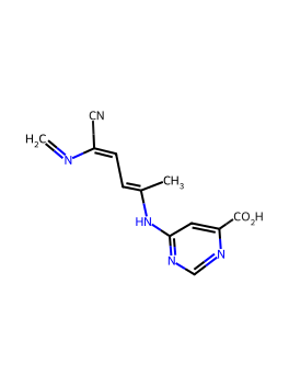 C=N/C(C#N)=C\C=C(/C)Nc1cc(C(=O)O)ncn1